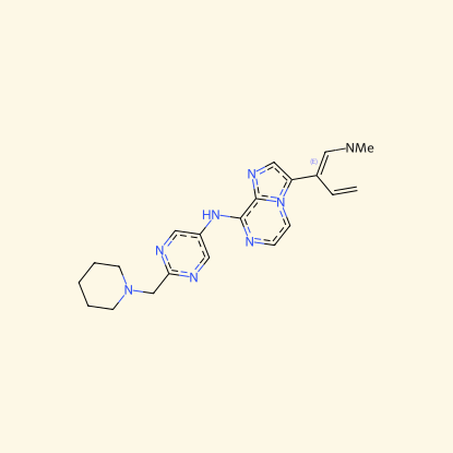 C=C/C(=C\NC)c1cnc2c(Nc3cnc(CN4CCCCC4)nc3)nccn12